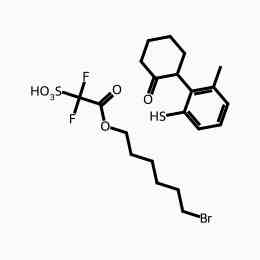 Cc1cccc(S)c1C1CCCCC1=O.O=C(OCCCCCCBr)C(F)(F)S(=O)(=O)O